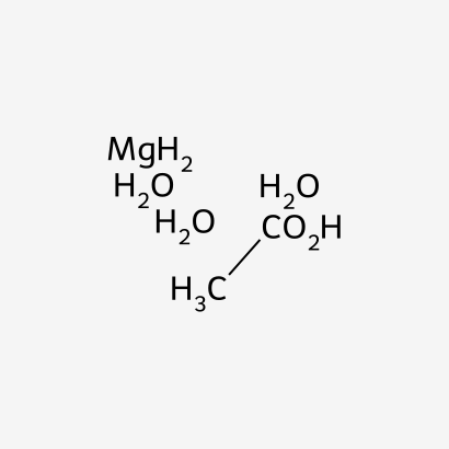 CC(=O)O.O.O.O.[MgH2]